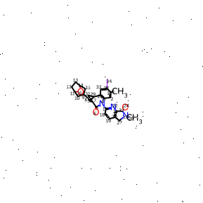 Cc1cc(N(C(=O)C#CC2CC3CCC(C2)O3)c2ccc3c(n2)C(=O)N(C)C3)c(C2CC2)cc1I